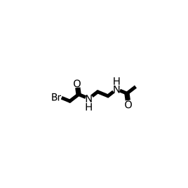 CC(=O)NCCNC(=O)CBr